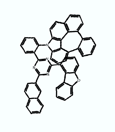 c1ccc2c(c1)-c1cccc3ccc4c(c13)c1c-2cccc1n4-c1ccccc1-c1nc(-c2ccc3ccccc3c2)nc(-c2cccc3oc4ccccc4c23)n1